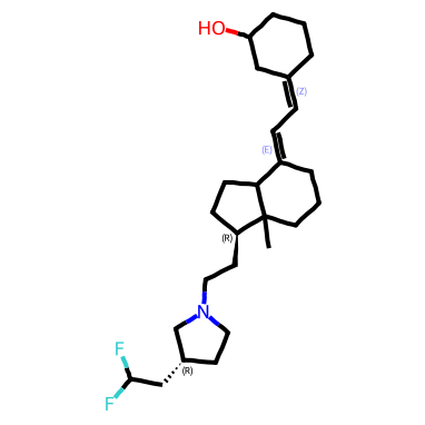 CC12CCC/C(=C\C=C3\CCCC(O)C3)C1CC[C@@H]2CCN1CC[C@H](CC(F)F)C1